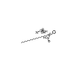 CCCCCCCCCCCCCCCCCCCCN(CC(O)=C=O)OCc1ccccc1.C[N+](C)(C)CCOP(=O)(O)O